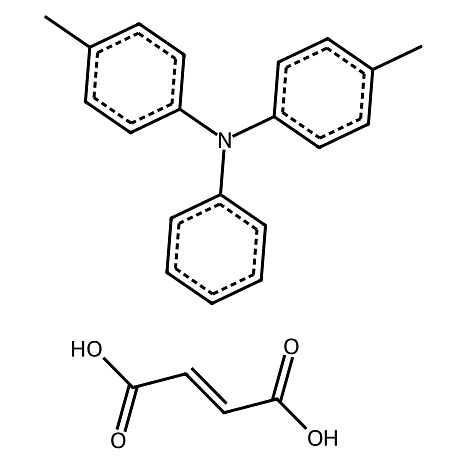 Cc1ccc(N(c2ccccc2)c2ccc(C)cc2)cc1.O=C(O)/C=C/C(=O)O